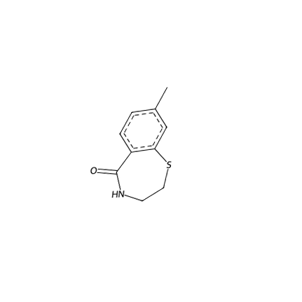 Cc1ccc2c(c1)SCCNC2=O